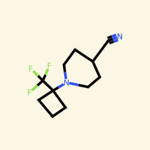 N#CC1CCN(C2(C(F)(F)F)CCC2)CC1